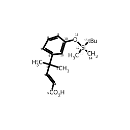 CC(C)(C=CC(=O)O)c1cccc(O[Si](C)(C)C(C)(C)C)c1